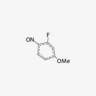 COc1ccc(N=O)c(F)c1